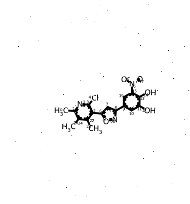 Cc1nc(Cl)c(-c2cc(-c3cc(O)c(O)c([N+](=O)[O-])c3)no2)c(C)c1C